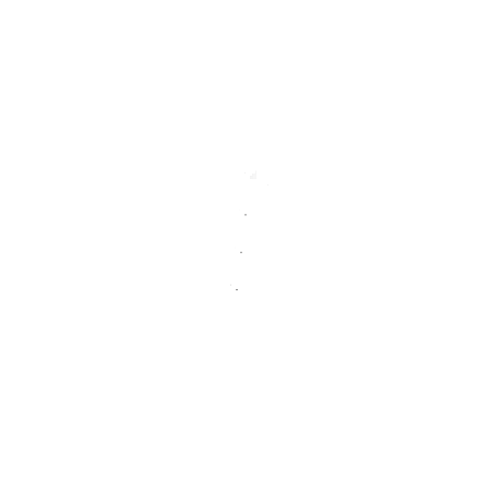 C[SiH2][Si](C)(C)[Si](C)(C)[Si](C)(C)C